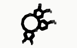 Cn1cc2c(cc1=O)OCCCCc1cc(F)c(F)cc1Oc1ccc(N)cc1-2